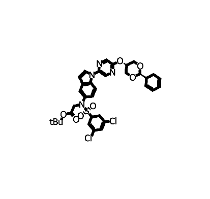 CC(C)(C)OC(=O)CN(c1ccc2c(ccn2-c2cnc(O[C@H]3CO[C@H](C4C=CC=CC4)OC3)cn2)c1)S(=O)(=O)C1C=C(Cl)C=C(Cl)C1